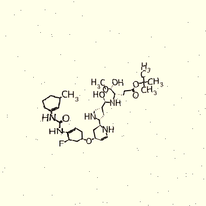 CO[C@H](O)[C@H](CCC(=O)OC(C)(C)C)N[C@H](O)[C@H]1CN[C@@H]([C@@H]2C[C@H](O[C@@H]3CC=C(NC(=O)NC4=C[C@H](C)CCC4)[C@H](F)C3)C=CN2)C1